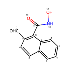 O=Cc1ccc2ccccc2c1C(=O)NO